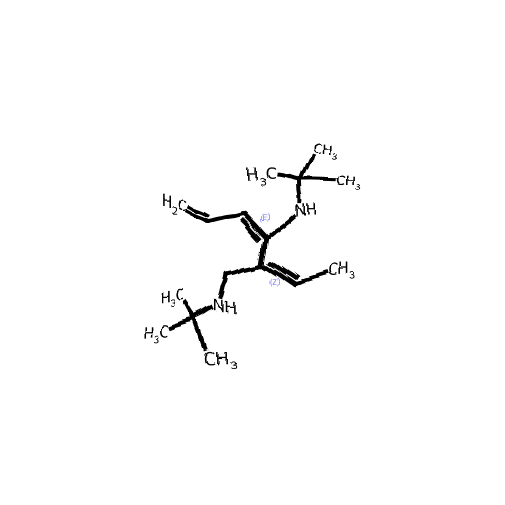 C=C/C=C(NC(C)(C)C)\C(=C/C)CNC(C)(C)C